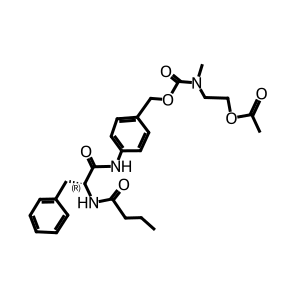 CCCC(=O)N[C@H](Cc1ccccc1)C(=O)Nc1ccc(COC(=O)N(C)CCOC(C)=O)cc1